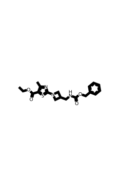 CCOC(=O)c1sc(N2CC(CNC(=O)OCc3ccccc3)C2)nc1C